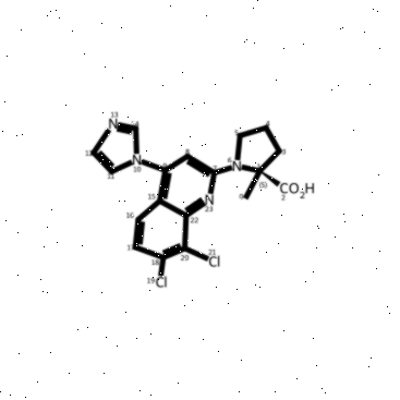 C[C@@]1(C(=O)O)CCCN1c1cc(-n2ccnc2)c2ccc(Cl)c(Cl)c2n1